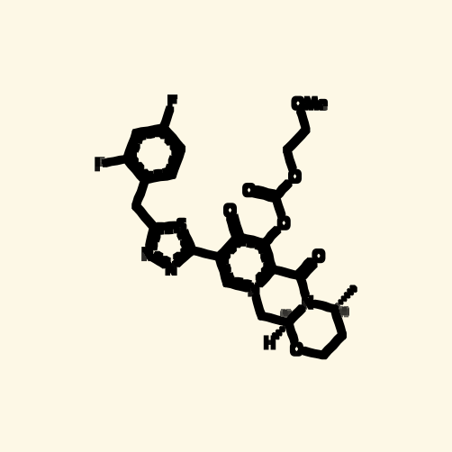 COCCOC(=O)Oc1c2n(cc(-c3nnc(Cc4ccc(F)cc4F)s3)c1=O)C[C@@H]1OCC[C@@H](C)N1C2=O